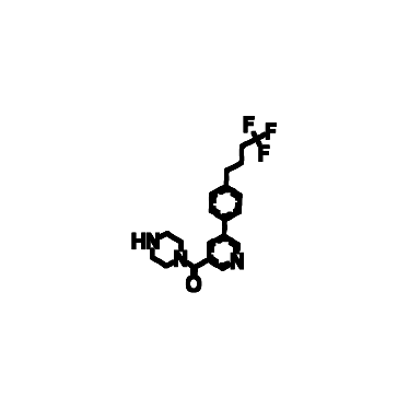 O=C(c1cncc(-c2ccc(CCCC(F)(F)F)cc2)c1)N1CCNCC1